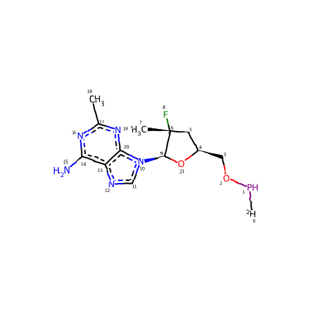 [2H]POC[C@@H]1C[C@@](C)(F)[C@H](n2cnc3c(N)nc(C)nc32)O1